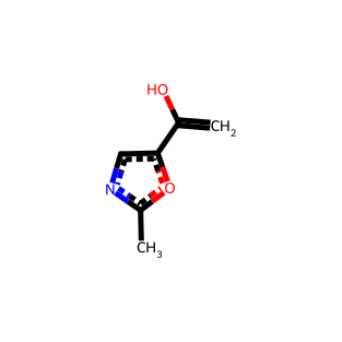 C=C(O)c1cnc(C)o1